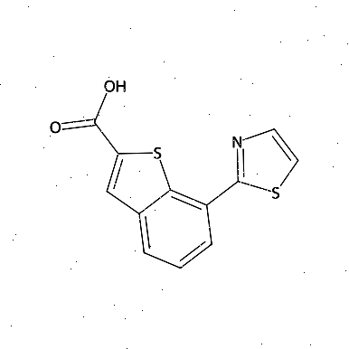 O=C(O)c1cc2cccc(-c3nccs3)c2s1